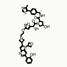 Cc1ncsc1-c1ccc([C@H](C)NC(=O)C2CC(O)CN2C(=O)[C@@H](c2cc(OCCN3CC(c4cc5nnc(-c6ccccc6O)cc5n4C4COC4)C3)no2)C(C)C)cc1